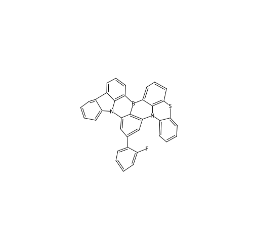 Fc1ccccc1-c1cc2c3c(c1)-n1c4ccccc4c4cccc(c41)B3c1cccc3c1N2c1ccccc1S3